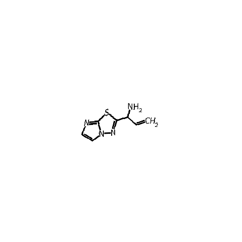 C=CC(N)c1nn2ccnc2s1